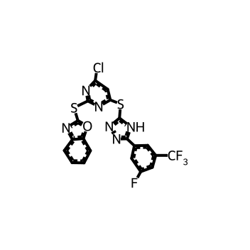 Fc1cc(-c2nnc(Sc3cc(Cl)nc(Sc4nc5ccccc5o4)n3)[nH]2)cc(C(F)(F)F)c1